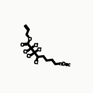 C=CCOC(=O)C(Cl)(Cl)C(Cl)(Cl)C(Cl)CCCCCCCCCCCCCC